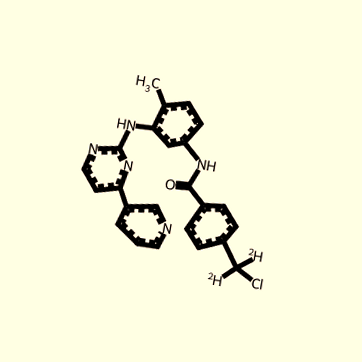 [2H]C([2H])(Cl)c1ccc(C(=O)Nc2ccc(C)c(Nc3nccc(-c4cccnc4)n3)c2)cc1